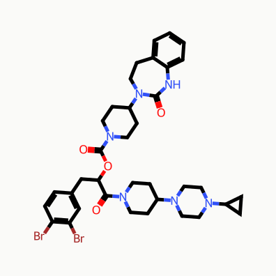 O=C(OC(Cc1ccc(Br)c(Br)c1)C(=O)N1CCC(N2CCN(C3CC3)CC2)CC1)N1CCC(N2CCc3ccccc3NC2=O)CC1